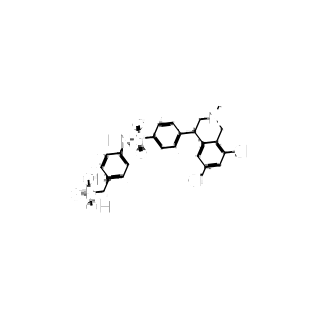 CN1Cc2c(Cl)cc(Cl)cc2C(c2ccc(S(=O)(=O)Nc3ccc(CP(=O)(O)O)cc3)cc2)C1